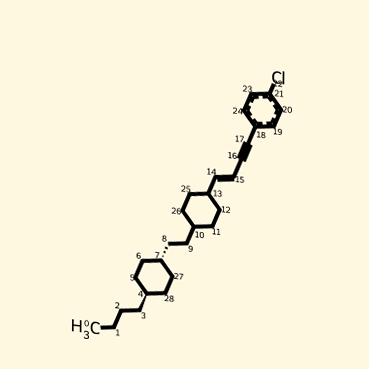 CCCC[C@H]1CC[C@H](CCC2CCC(/C=C/C#Cc3ccc(Cl)cc3)CC2)CC1